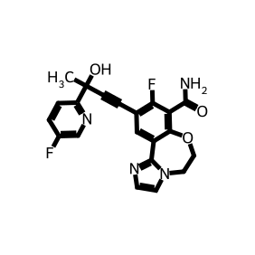 CC(O)(C#Cc1cc2c(c(C(N)=O)c1F)OCCn1ccnc1-2)c1ccc(F)cn1